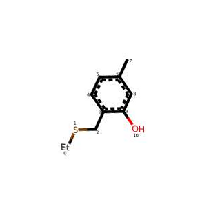 CCSCc1ccc(C)cc1O